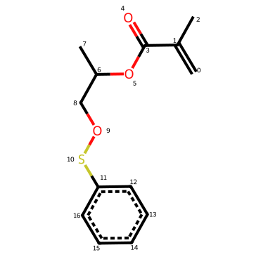 C=C(C)C(=O)OC(C)COSc1ccccc1